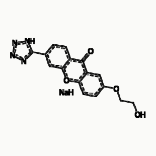 O=c1c2ccc(-c3nnn[nH]3)cc2oc2ccc(OCCO)cc12.[NaH]